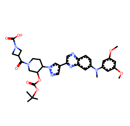 COc1cc(OC)cc(N(C)c2ccc3ncc(-c4cnn(C5CCN(C(=O)C6CN(C(=O)O)C6)CC5OC(=O)OC(C)(C)C)c4)nc3c2)c1